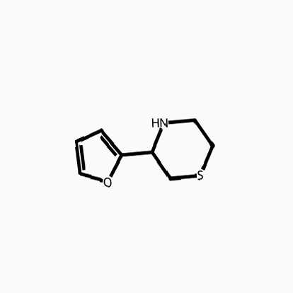 c1coc(C2CSCCN2)c1